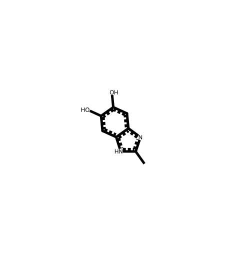 Cc1nc2cc(O)c(O)cc2[nH]1